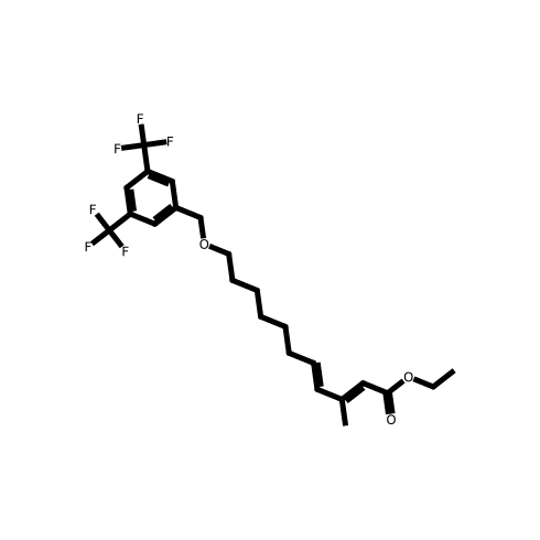 CCOC(=O)C=C(C)C=CCCCCCCOCc1cc(C(F)(F)F)cc(C(F)(F)F)c1